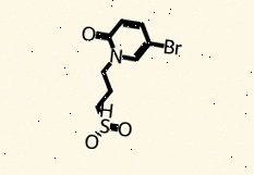 O=c1ccc(Br)cn1CCC[SH](=O)=O